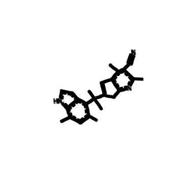 Cc1cc(C)c2[nH]ccc2c1C(C)(C)C1=Cc2c(nc(C)c(C#N)c2C)C1